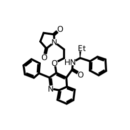 CC[C@H](NC(=O)c1c(OCCN2C(=O)CCC2=O)c(-c2ccccc2)nc2ccccc12)c1ccccc1